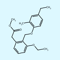 CCOc1cccc(CC(=O)OC)c1COc1ccc(CC)cc1C